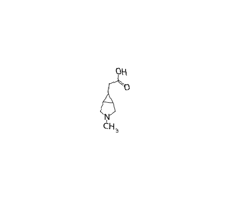 CN1CC2C(CC(=O)O)C2C1